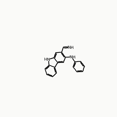 N=Cc1cc2[nH]c3ccccc3c2cc1Nc1ccccc1